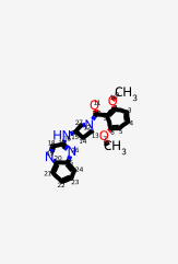 COc1cccc(OC)c1C(=O)N1CCC(Nc2cnc3ccccc3n2)C1